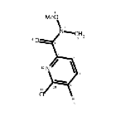 CON(C)C(=O)c1ccc(F)c(Cl)n1